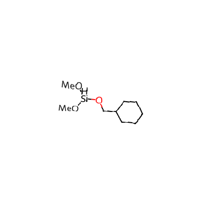 CO[SiH](OC)OCC1CCCCC1